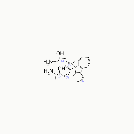 C=C(/C=C\C(O)=C(/C)N)C1(/C(C)=C/C=C(/O)CN)C(C)=C(/C=C\C)C2=C1C=CC=C=C2